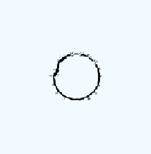 C1=C\SSSSCCCCCCCCCC/C=C/1